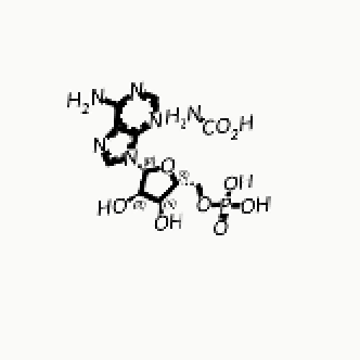 NC(=O)O.Nc1ncnc2c1ncn2[C@@H]1O[C@H](COP(=O)(O)O)[C@@H](O)[C@H]1O